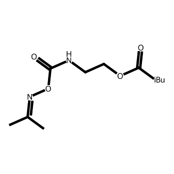 CCC(C)C(=O)OCCNC(=O)ON=C(C)C